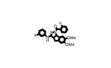 COc1cc2c(cc1OC)C1C(C2)C(Nc2cccc(F)c2)=NN1C(=O)c1ccccc1F